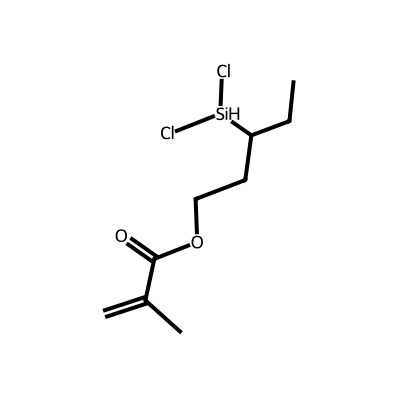 C=C(C)C(=O)OCCC(CC)[SiH](Cl)Cl